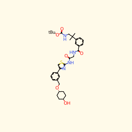 CC(C)(C)OC(=O)NCC(C)(C)c1cccc(C(=O)NCC(=O)Nc2nc(-c3cccc(CO[C@H]4CC[C@H](O)CC4)c3)cs2)c1